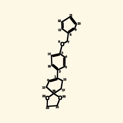 C1=C(c2ccc(OCc3ccccc3)cc2)CCC2(C1)OCCO2